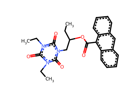 CCC(Cn1c(=O)n(CC)c(=O)n(CC)c1=O)OC(=O)c1c2ccccc2cc2ccccc12